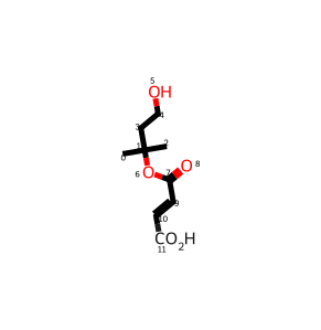 CC(C)(CCO)OC(=O)C=CC(=O)O